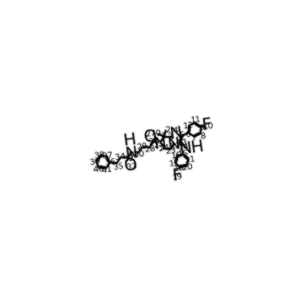 CC1(C)c2nc(-c3ccc(F)cc3)c(Nc3ccc(F)cc3)n2CCN1C(=O)CCCNC(=O)CCc1ccccc1